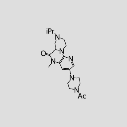 CC(=O)N1CCN(c2cnc3c(c2)N(C)C(=O)C2CN(C(C)C)CCN32)CC1